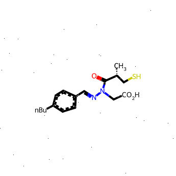 CCCCc1ccc(/C=N/N(CC(=O)O)C(=O)[C@H](C)CS)cc1